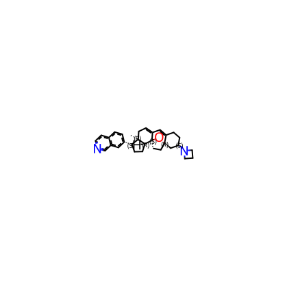 C[C@]12CC=C3C=C4CC[C@H](N5CCC5)C[C@]45CC[C@]3(O5)[C@@H]1CC[C@@H]2c1ccc2ccncc2c1